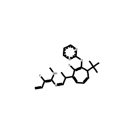 C=C/C(F)=C(\N=C/C(C)C1=CC=CC(C(C)(C)C)C(Oc2ncccn2)=C1F)NC